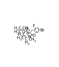 CN1C(=O)[C@H](Cc2ccc(Br)cc2F)N(C(=O)OC(C)(C)C)[C@H]1C(C)(C)C